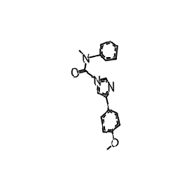 COc1ccc(-c2cn(C(=O)N(C)c3ccccc3)cn2)cc1